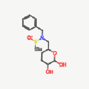 CC(C)(C)[S+]([O-])N(Cc1ccccc1)CC1CCC(O)C(O)O1